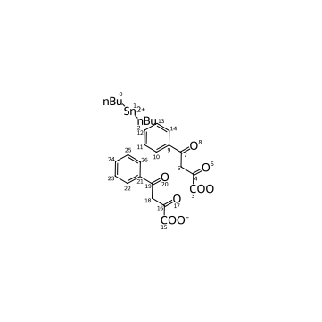 CCC[CH2][Sn+2][CH2]CCC.O=C([O-])C(=O)CC(=O)c1ccccc1.O=C([O-])C(=O)CC(=O)c1ccccc1